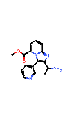 COC(=O)c1cccc2nc(C(C)N)c(-c3cccnc3)n12